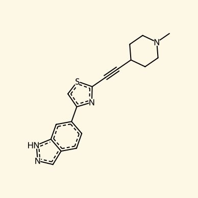 CN1CCC(C#Cc2nc(-c3ccc4cn[nH]c4c3)cs2)CC1